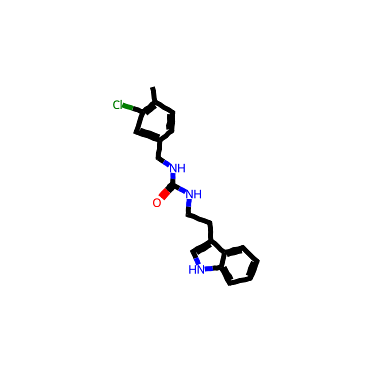 Cc1ccc(CNC(=O)NCCc2c[nH]c3ccccc23)cc1Cl